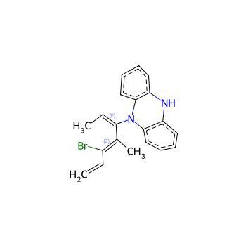 C=C/C(Br)=C(C)/C(=C\C)N1c2ccccc2Nc2ccccc21